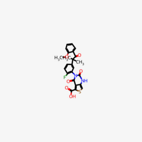 COc1ccccc1C(=O)C(C)(C)c1ccc(F)c(-n2c(=O)[nH]c3csc(C(=O)O)c3c2=O)c1